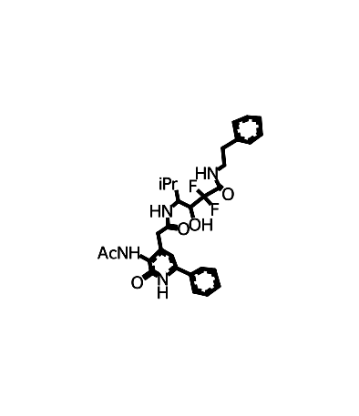 CC(=O)Nc1c(CC(=O)NC(C(C)C)C(O)C(F)(F)C(=O)NCCc2ccccc2)cc(-c2ccccc2)[nH]c1=O